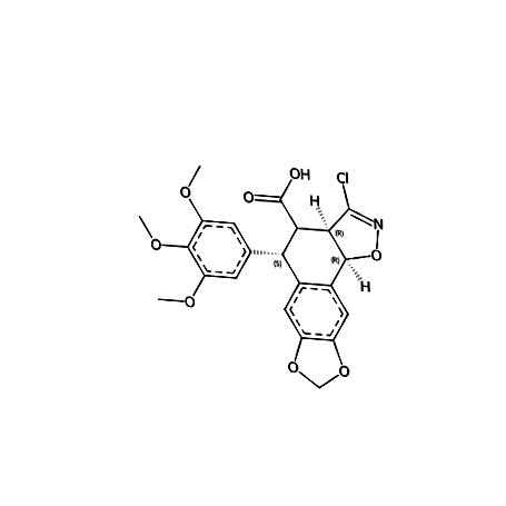 COc1cc([C@H]2c3cc4c(cc3[C@@H]3ON=C(Cl)[C@@H]3C2C(=O)O)OCO4)cc(OC)c1OC